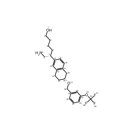 NC[C@H](CCCCO)c1ccc2c(c1)CC[C@@H](OCc1cccc(OC(F)(F)F)c1)C2